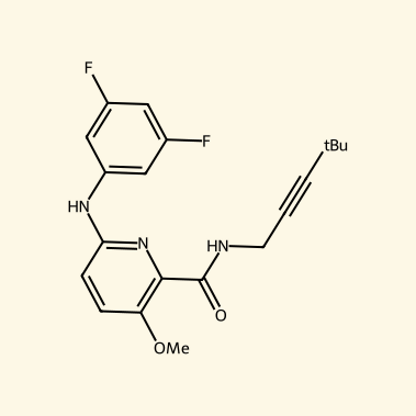 COc1ccc(Nc2cc(F)cc(F)c2)nc1C(=O)NCC#CC(C)(C)C